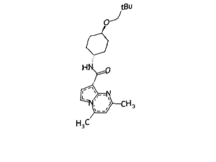 Cc1cc(C)n2ccc(C(=O)N[C@H]3CC[C@H](OCC(C)(C)C)CC3)c2n1